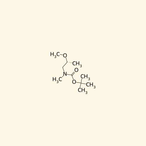 CO[C@H](C)CN(C)C(=O)OC(C)(C)C